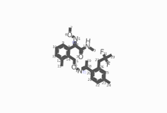 CNC(=O)/C(=N/OC)c1cccc(C)c1CO/N=C(\C)c1ccc(C)cc1CC(C)(F)F